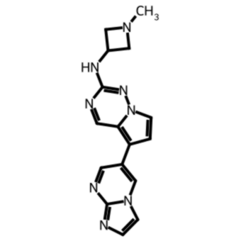 CN1CC(Nc2ncc3c(-c4cnc5nccn5c4)ccn3n2)C1